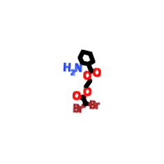 NC1CCCCC1C(=O)OCCOC(=O)C(Br)Br